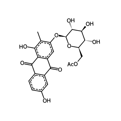 CC(=O)OC[C@H]1O[C@@H](Oc2cc3c(c(O)c2C)C(=O)c2ccc(O)cc2C3=O)[C@H](O)[C@@H](O)[C@@H]1O